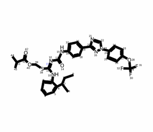 CCC(C)c1ccccc1N/C(=N\C(=O)Nc1ccc(-c2ncn(-c3ccc(OC(F)(F)F)cc3)n2)cc1)SCOC(=O)C(C)C